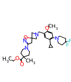 CCOC(=O)C1(C)CCN(C2=NOC3(C2)CN(Cc2cc(C4CC4)c(N4CCC(F)(F)CC4)cc2OC)C3)CC1